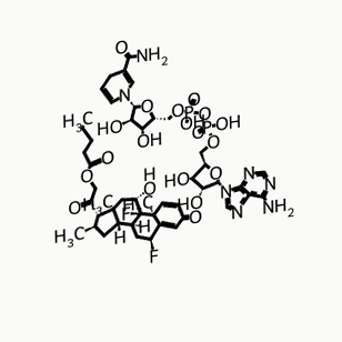 CCCCC(=O)OCC(=O)[C@H]1[C@H](C)C[C@H]2[C@@H]3C[C@H](F)C4=CC(=O)C=C[C@]4(C)[C@@]3(F)[C@@H](O)C[C@@]21C.NC(=O)C1=CN([C@@H]2O[C@H](COP(=O)(O)OP(=O)(O)OC[C@H]3O[C@@H](n4cnc5c(N)ncnc54)[C@H](O)[C@@H]3O)[C@@H](O)[C@H]2O)C=CC1